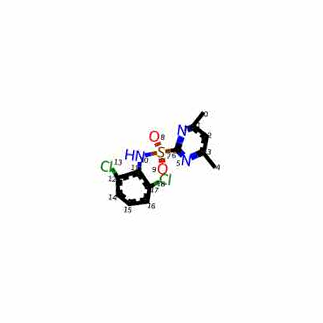 Cc1cc(C)nc(S(=O)(=O)Nc2c(Cl)cccc2Cl)n1